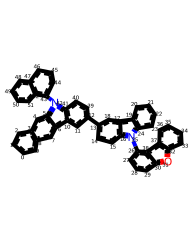 c1ccc2cc3c(cc2c1)c1cc(-c2ccc4c(c2)c2ccccc2n4-c2cccc4oc5ccccc5c24)ccc1n3-c1cccc2ccccc12